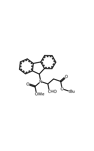 COC(=O)N(C(C=O)CC(=O)OC(C)(C)C)C1c2ccccc2-c2ccccc21